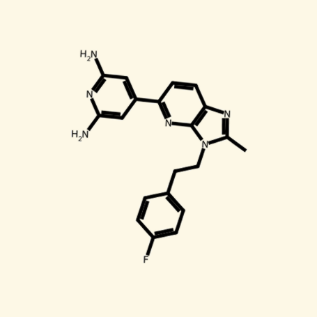 Cc1nc2ccc(-c3cc(N)nc(N)c3)nc2n1CCc1ccc(F)cc1